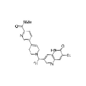 [2H]C(c1cnc2cc(CC)c(=O)[nH]c2c1)N1CC=C(c2ccc(C(=O)NC)nc2)CC1